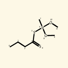 CCCC(=S)S[Si](C)(OC)OC